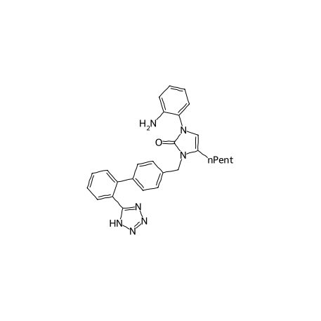 CCCCCc1cn(-c2ccccc2N)c(=O)n1Cc1ccc(-c2ccccc2-c2nnn[nH]2)cc1